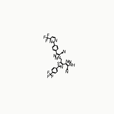 N#Cc1[nH]nnc1-c1nc(-c2ccc(C(F)(F)F)cc2)sc1Cn1nnc(-c2ccc(-c3nccc(C(F)(F)F)n3)cc2)c1C#N